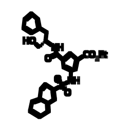 CCOC(=O)c1cc(NS(=O)(=O)c2ccc3ccccc3c2)cc(C(=O)N[C@H](CO)Cc2ccccc2)c1